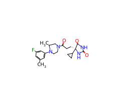 Cc1cc(F)cc(N2CCN(C(=O)CC[C@@]3(C4CC4)NC(=O)NC3=O)C[C@@H]2C)c1